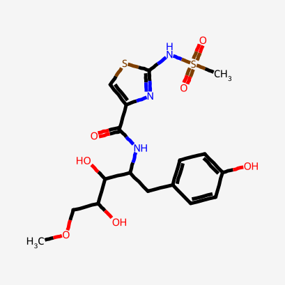 COCC(O)C(O)C(Cc1ccc(O)cc1)NC(=O)c1csc(NS(C)(=O)=O)n1